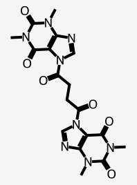 Cn1c(=O)c2c(ncn2C(=O)CCC(=O)n2cnc3c2c(=O)n(C)c(=O)n3C)n(C)c1=O